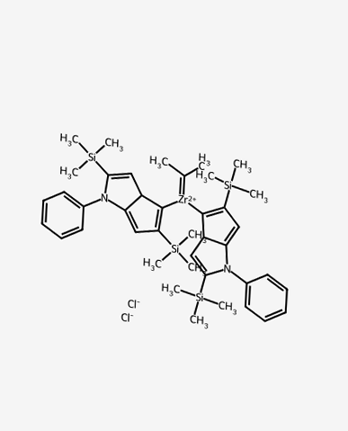 C[C](C)=[Zr+2]([C]1=C([Si](C)(C)C)C=C2C1C=C([Si](C)(C)C)N2c1ccccc1)[C]1=C([Si](C)(C)C)C=C2C1C=C([Si](C)(C)C)N2c1ccccc1.[Cl-].[Cl-]